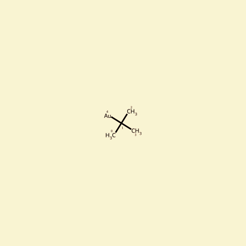 C[C](C)(C)[Au]